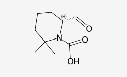 CC1(C)CCC[C@H](C=O)N1C(=O)O